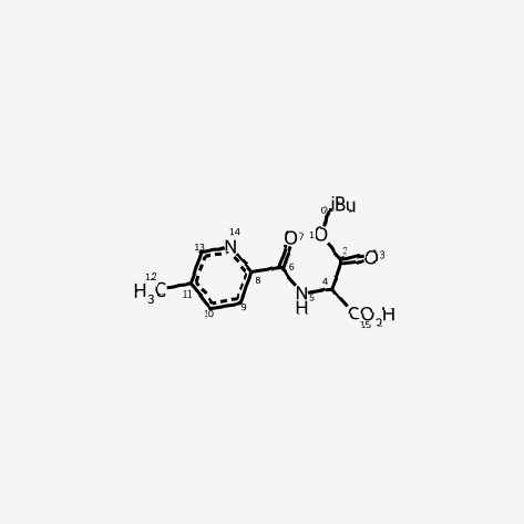 CCC(C)OC(=O)C(NC(=O)c1ccc(C)cn1)C(=O)O